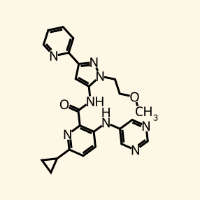 COCCn1nc(-c2ccccn2)cc1NC(=O)c1nc(C2CC2)ccc1Nc1cncnc1